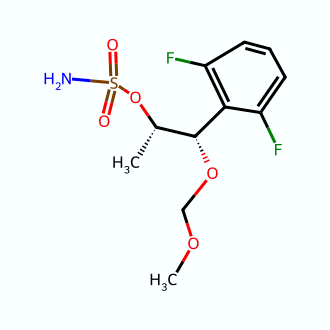 COCO[C@@H](c1c(F)cccc1F)[C@H](C)OS(N)(=O)=O